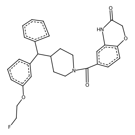 O=C1COc2ccc(C(=O)N3CCC(C(c4ccccc4)c4cccc(OCCF)c4)CC3)cc2N1